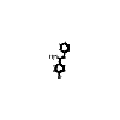 NC(Cc1ccccc1)c1ccc(Br)cc1